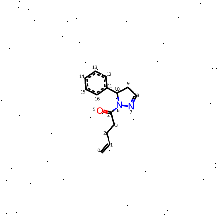 C=CCCC(=O)N1N=CCC1c1ccccc1